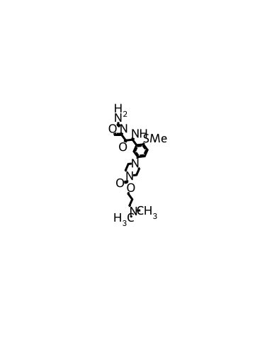 CSc1ccc(N2CCN(C(=O)OCCCN(C)C)CC2)cc1C(=N)C(=O)c1coc(N)n1